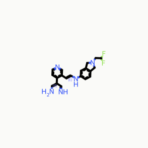 N=C/C(=C\N)c1ccncc1/C=C/Nc1ccc2c(c1)CN(CC(F)F)C2